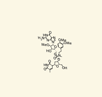 COc1ccc(CCN(C)P(=O)(OC[C@H]2O[C@@H](n3cnc4c(=O)[nH]c(N)nc43)[C@H](OC)C2O)OC2C[C@H](C3C=C(C)C(=O)NC3=O)O[C@@H]2CO)cc1OC